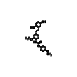 COc1ccc(OC(=O)Nc2ccc(CCc3cc(O)ccc3O)cc2OC)cc1